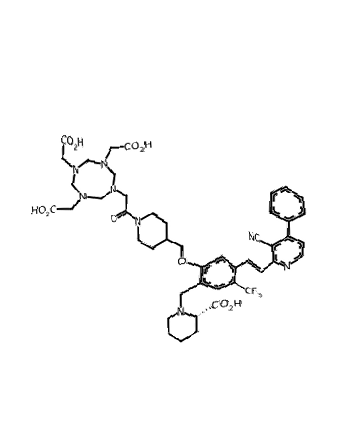 N#Cc1c(-c2ccccc2)ccnc1/C=C/c1cc(OCC2CCN(C(=O)CN3CN(CC(=O)O)CN(CC(=O)O)CN(CC(=O)O)C3)CC2)c(CN2CCCC[C@H]2C(=O)O)cc1C(F)(F)F